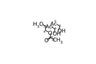 CC(=O)CO.CC(=O)CO.CCCOC(C)=O